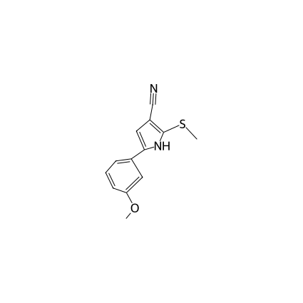 COc1cccc(-c2cc(C#N)c(SC)[nH]2)c1